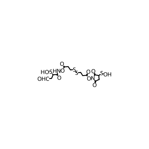 O=CCC(SO)C(=O)NOC(=O)CCSSCCC(=O)ON1C(=O)CC(SO)C1=O